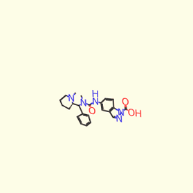 CN1CCCC[C@@H]1[C@H](c1ccccc1)N(C)C(=O)Nc1ccc2c(cnn2C(=O)O)c1